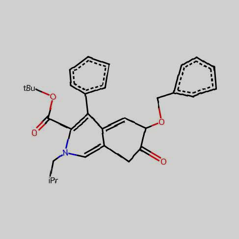 CC(C)CN1C=C2CC(=O)C(OCc3ccccc3)C=C2C(c2ccccc2)=C1C(=O)OC(C)(C)C